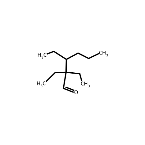 CCCC(CC)C(C=O)(CC)CC